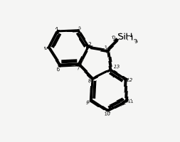 [SiH3]C1c2ccccc2-c2ccccc21